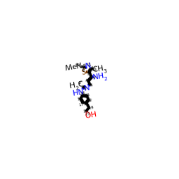 C=C(/N=C\C=C(/N)c1sc(NC)nc1C)Nc1ccc(CCO)cc1